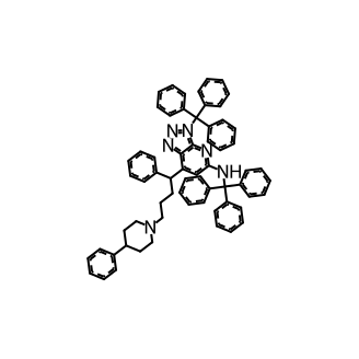 c1ccc(C2CCN(CCCC(c3ccccc3)c3cc(NC(c4ccccc4)(c4ccccc4)c4ccccc4)nc4c3nnn4C(c3ccccc3)(c3ccccc3)c3ccccc3)CC2)cc1